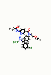 COCCN(C(=O)c1ccc(NC(C)=O)nc1)[C@H]1CC[C@@](CN)(c2cccc(Cl)c2)CC1.Cl